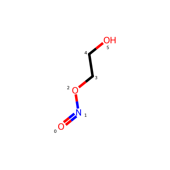 O=NOCCO